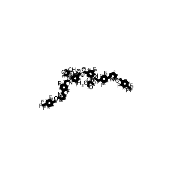 CC1(C)COCC1n1c(Cc2cc(F)c(-c3cccc(OCc4ccc(C(F)(F)F)cc4F)n3)cc2F)nc2c(F)cc(C(=O)OC(=O)c3cc(F)c4nc(Cc5cc(F)c(-c6cccc(OCc7ccc(C(F)(F)F)cc7F)n6)cc5F)n(C5COCC5(C)C)c4c3)cc21